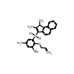 C=CCOc1c(C(C)(C)C)cc(C)cc1[Si](CC)(CC)C1=C(C)C(C)c2c1ccc1ccccc21